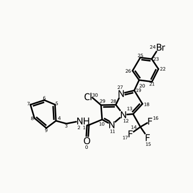 O=C(NCc1ccccc1)c1nn2c(C(F)(F)F)cc(-c3ccc(Br)cc3)nc2c1Cl